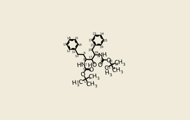 CC(C)(C)OC(=O)NC(CCc1ccccc1)C(O)C(Cc1ccccc1)NC(=O)OC(C)(C)C